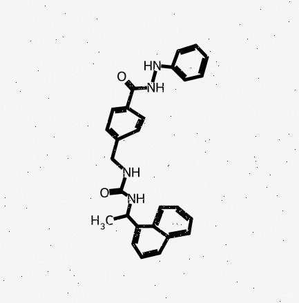 CC(NC(=O)NCc1ccc(C(=O)NNc2ccccc2)cc1)c1cccc2ccccc12